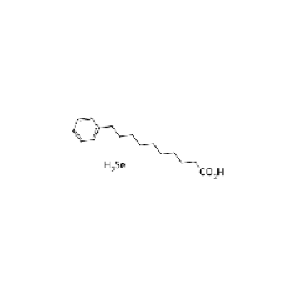 O=C(O)CCCCCCCCCc1ccccc1.[SeH2]